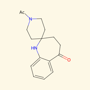 CC(=O)N1CCC2(CCC(=O)c3ccccc3N2)CC1